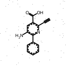 C#Cc1nc(-c2ccccc2)c(N)cc1C(=O)O